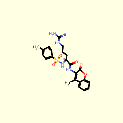 Cc1ccc(S(=O)(=O)N[C@@H](CCCNC(=N)N)C(=O)Nc2c(C)c3ccccc3oc2=O)cc1